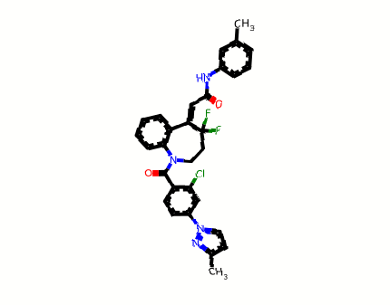 Cc1cccc(NC(=O)C=C2c3ccccc3N(C(=O)c3ccc(-n4ccc(C)n4)cc3Cl)CCC2(F)F)c1